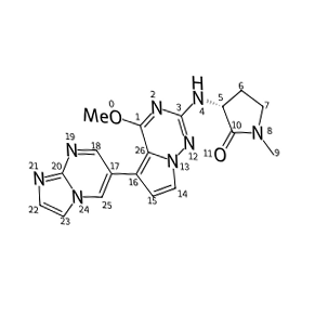 COc1nc(N[C@@H]2CCN(C)C2=O)nn2ccc(-c3cnc4nccn4c3)c12